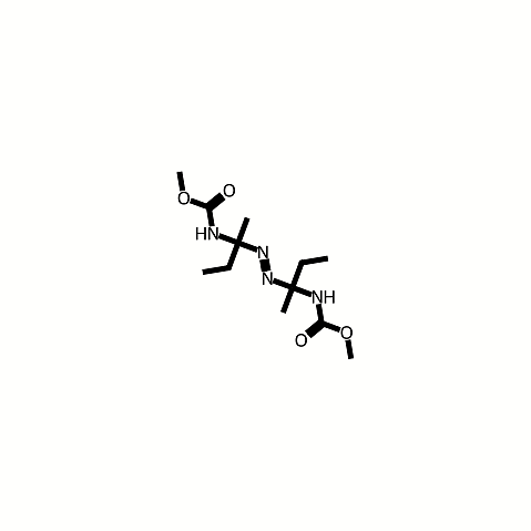 CCC(C)(/N=N/C(C)(CC)NC(=O)OC)NC(=O)OC